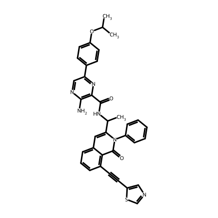 CC(C)Oc1ccc(-c2cnc(N)c(C(=O)NC(C)c3cc4cccc(C#Cc5cncs5)c4c(=O)n3-c3ccccc3)n2)cc1